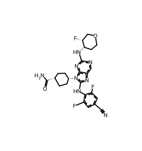 N#Cc1cc(F)c(Nc2nc3cnc(N[C@H]4CCOC[C@H]4F)nc3n2[C@H]2CC[C@@H](C(N)=O)CC2)c(F)c1